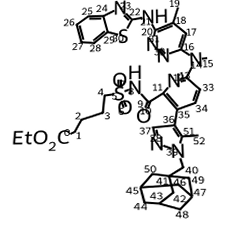 CCOC(=O)CCCCS(=O)(=O)NC(=O)c1nc(N(C)c2cc(C)c(Nc3nc4ccccc4s3)nn2)ccc1-c1cnn(CC23CC4CC(CC(C4)C2)C3)c1C